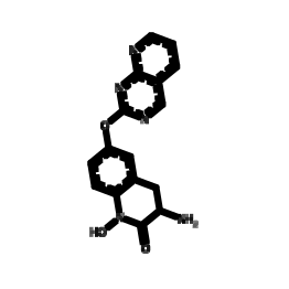 NC1Cc2cc(Oc3ncc4cccnc4n3)ccc2N(O)C1=O